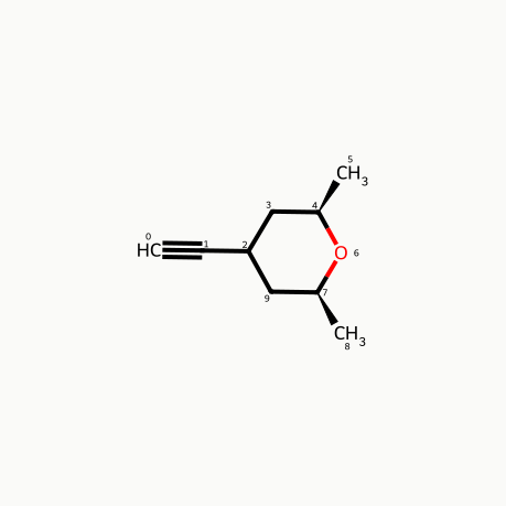 C#CC1C[C@@H](C)O[C@@H](C)C1